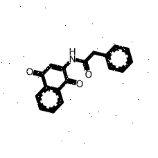 O=C(Cc1ccccc1)NC1=CC(=O)c2ccccc2C1=O